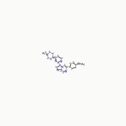 CC(=O)Nc1ccc(-c2cn3c(-c4nccc(N5CCN(C(C)=O)CC5)n4)cnc3cn2)cc1